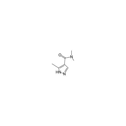 Cc1[nH]ncc1C(=O)N(C)C